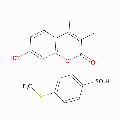 Cc1c(C)c2ccc(O)cc2oc1=O.O=S(=O)(O)c1ccc(SC(F)(F)F)cc1